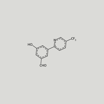 O=Cc1cc(O)cc(-c2ccc(C(F)(F)F)cn2)c1